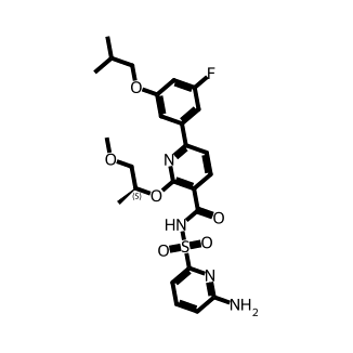 COC[C@H](C)Oc1nc(-c2cc(F)cc(OCC(C)C)c2)ccc1C(=O)NS(=O)(=O)c1cccc(N)n1